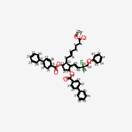 CC(C)OC(=O)CCCC=CCC1C(OC(=O)c2ccc(-c3ccccc3)cc2)CC(OC(=O)c2ccc(-c3ccccc3)cc2)C1C=CC(F)(F)COc1ccccc1